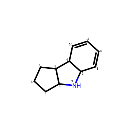 C1=CC2NC3CCCC3C2C=C1